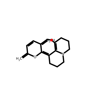 C=C1C=CC(=C/C)/C(=C2/CCCN3CCCC(C)=C23)O1